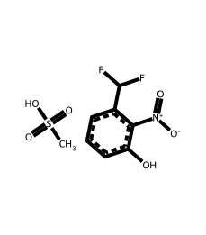 CS(=O)(=O)O.O=[N+]([O-])c1c(O)cccc1C(F)F